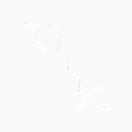 CS(=O)(=O)CCCOc1ccc(Br)cc1